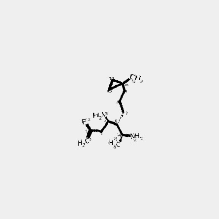 C=C(F)C[C@@H](N)[C@H](CCCC1(C)CC1)[C@H](C)N